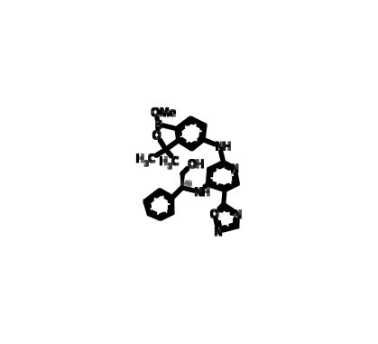 COB1OC(C)(C)c2cc(Nc3cc(N[C@H](CO)c4ccccc4)c(-c4ncno4)cn3)ccc21